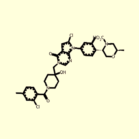 Cc1ccc(C(=O)N2CCC(O)(Cn3cnc4c(cc(Cl)n4-c4ccc([C@H]5CO[C@H](C)CN5C(=O)O)c(C)c4)c3=O)CC2)c(Cl)c1